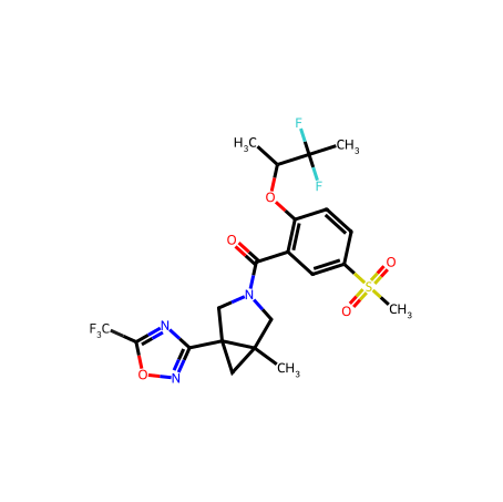 CC(Oc1ccc(S(C)(=O)=O)cc1C(=O)N1CC2(C)CC2(c2noc(C(F)(F)F)n2)C1)C(C)(F)F